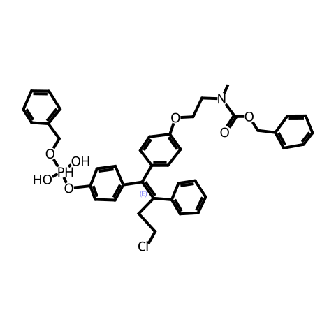 CN(CCOc1ccc(/C(=C(/CCCl)c2ccccc2)c2ccc(O[PH](O)(O)OCc3ccccc3)cc2)cc1)C(=O)OCc1ccccc1